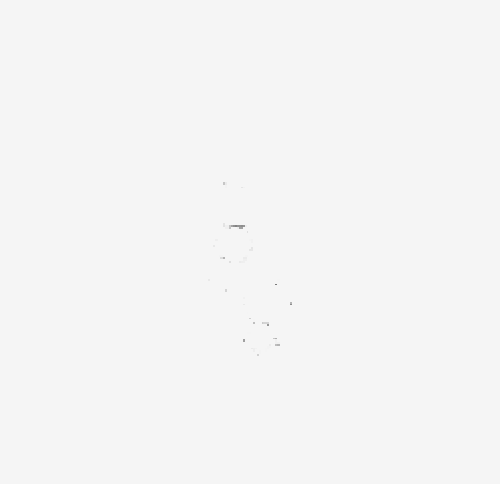 COC(O)C(Cn1cncn1)c1ccc(Oc2ccc(Cl)cc2)cc1C(F)(F)F